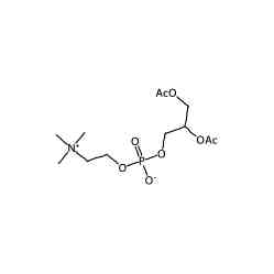 CC(=O)OCC(COP(=O)([O-])OCC[N+](C)(C)C)OC(C)=O